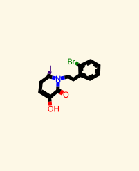 O=C1C(O)=CCC(I)N1CCc1ccccc1Br